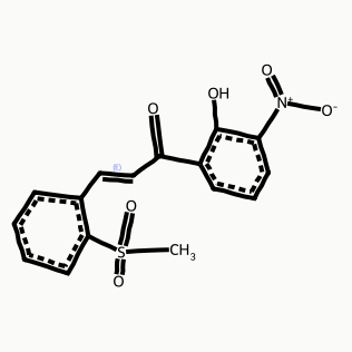 CS(=O)(=O)c1ccccc1/C=C/C(=O)c1cccc([N+](=O)[O-])c1O